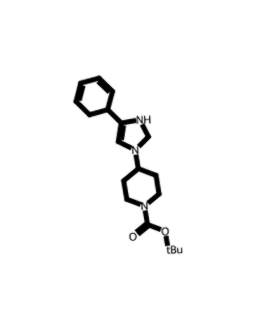 CC(C)(C)OC(=O)N1CCC(N2C=C(C3C=CC=CC3)NC2)CC1